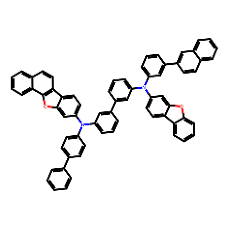 c1ccc(-c2ccc(N(c3cccc(-c4cccc(N(c5cccc(-c6ccc7ccccc7c6)c5)c5ccc6c(c5)oc5ccccc56)c4)c3)c3ccc4c(c3)oc3c5ccccc5ccc43)cc2)cc1